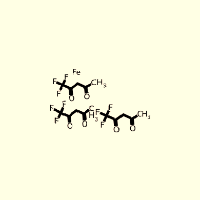 CC(=O)CC(=O)C(F)(F)F.CC(=O)CC(=O)C(F)(F)F.CC(=O)CC(=O)C(F)(F)F.[Fe]